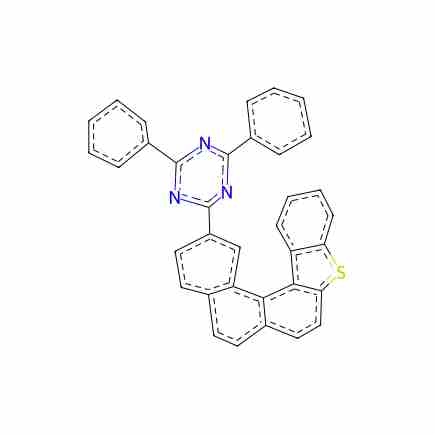 c1ccc(-c2nc(-c3ccccc3)nc(-c3ccc4ccc5ccc6sc7ccccc7c6c5c4c3)n2)cc1